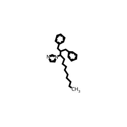 CCCCCCCCCC(C(Cc1ccccc1)Cc1ccccc1)n1ccnc1